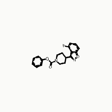 O=C(Oc1ccccc1)N1CCC(c2noc3cccc(F)c23)CC1